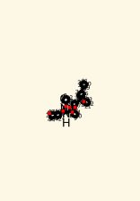 c1ccc(C2=NC(c3ccccc3-c3cccc(-n4c5ccccc5c5cc(-c6ccccc6)ccc54)c3)NC(c3ccc4ccccc4c3)=N2)cc1